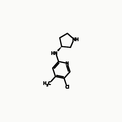 Cc1cc(N[C@@H]2CCNC2)ncc1Cl